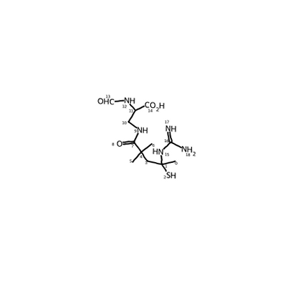 CC(S)(CC(C)(C)C(=O)NCC(NC=O)C(=O)O)NC(=N)N